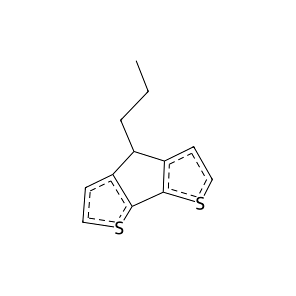 CCCC1c2ccsc2-c2sccc21